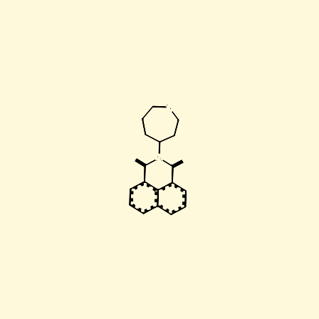 O=C1c2cccc3cccc(c23)C(=O)N1C1CCCNCC1